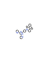 c1ccc(-c2cc(-c3ccccn3)nc(-c3ccc(N4c5ccccc5C5(c6ccccc6-c6ccccc65)c5ccccc54)cc3)n2)nc1